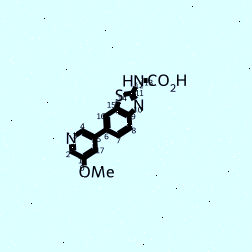 COc1cncc(-c2ccc3nc(NC(=O)O)sc3c2)c1